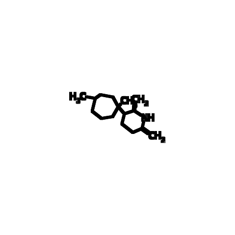 C=C1CCC(C2(C)CCCC(C)CC2)C(=C)N1